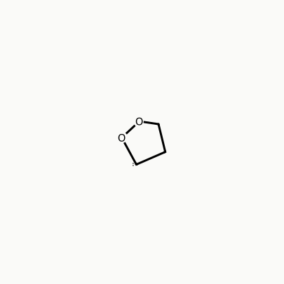 [C]1CCOO1